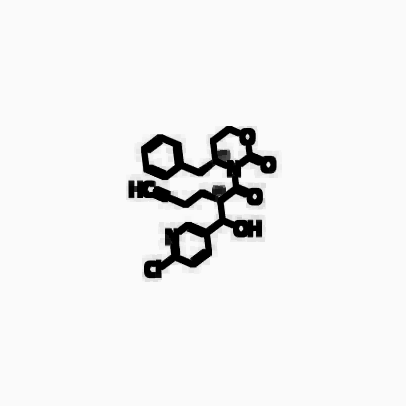 C#CCC[C@@H](C(=O)N1C(=O)OCC[C@@H]1Cc1ccccc1)C(O)c1ccc(Cl)nc1